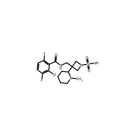 CCCS(=O)(=O)N1CC(CNC(=O)c2c(F)ccc(F)c2Cl)(C2CCCCN2C)C1